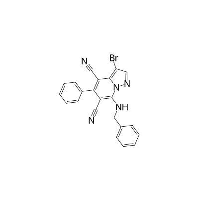 N#Cc1c(-c2ccccc2)c(C#N)c2c(Br)cnn2c1NCc1ccccc1